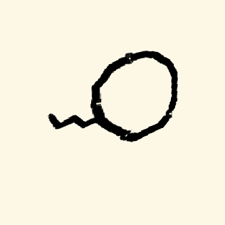 CCC[CH]C1CCCCCCCCCCCCCC1